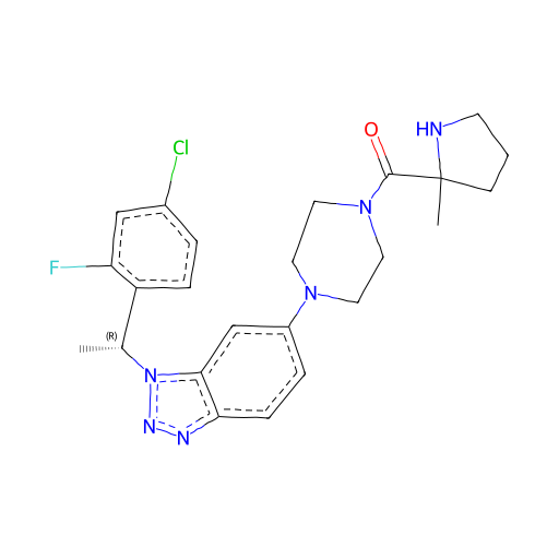 C[C@H](c1ccc(Cl)cc1F)n1nnc2ccc(N3CCN(C(=O)C4(C)CCCN4)CC3)cc21